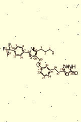 CCCCc1nc(-c2ccc(C(F)(F)F)cc2)sc1COc1cccc(CCc2n[nH]c(=O)o2)c1